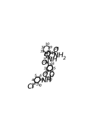 Cc1c(Cl)cccc1NC(=O)C(C)Oc1ccc(C(=O)Nc2sc3c(c2C(N)=O)CCCC3)cc1